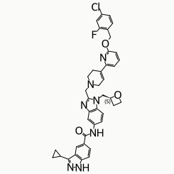 O=C(Nc1ccc2c(c1)nc(CN1CC=C(c3cccc(OCc4ccc(Cl)cc4F)n3)CC1)n2C[C@@H]1CCO1)c1ccc2[nH]nc(C3CC3)c2c1